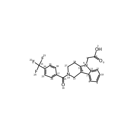 O=C(O)Cn1c2c(c3ccccc31)CN(C(=O)c1ccc(C(F)(F)F)cc1)CC2